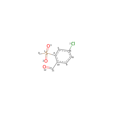 CS(=O)(=O)c1cc(Cl)ccc1C=O